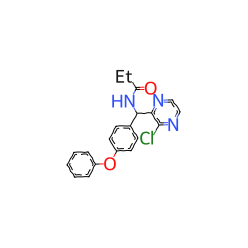 CCC(=O)NC(c1ccc(Oc2ccccc2)cc1)c1nccnc1Cl